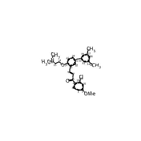 COc1ccc(C(=O)C=Cc2cc(-c3cc(C)cc(C)c3)ccc2OCCN(C)C)c(Cl)c1